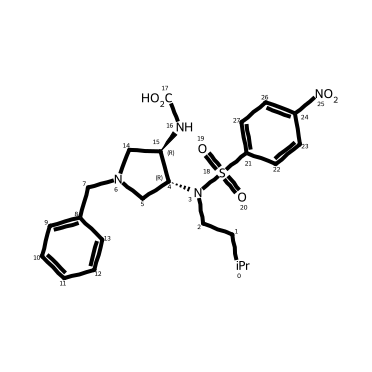 CC(C)CCN([C@@H]1CN(Cc2ccccc2)C[C@H]1NC(=O)O)S(=O)(=O)c1ccc([N+](=O)[O-])cc1